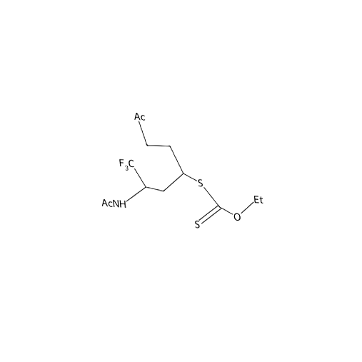 CCOC(=S)SC(CCC(C)=O)CC(NC(C)=O)C(F)(F)F